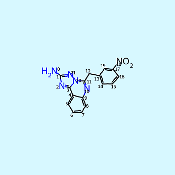 Nc1nc2c3ccccc3nc(Cc3cccc([N+](=O)[O-])c3)n2n1